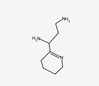 NCCC(N)C1=NCCCC1